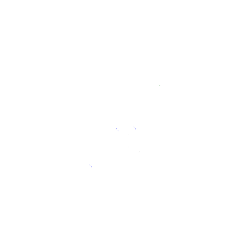 Cc1cc(C#N)cn2cc(-c3ccc(Br)o3)nc12